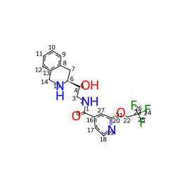 O=C(NCC(O)[C@@H]1Cc2ccccc2CN1)c1ccnc(OCC(F)(F)F)c1